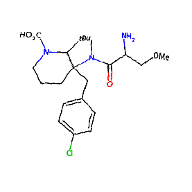 COCC(N)C(=O)N(C)C1(Cc2ccc(Cl)cc2)CCCN(C(=O)O)C1C(C)(C)C